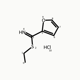 CCSC(=N)c1ccco1.Cl